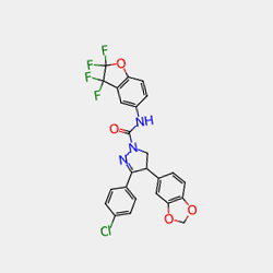 O=C(Nc1ccc2c(c1)C(F)(F)C(F)(F)O2)N1CC(c2ccc3c(c2)OCO3)C(c2ccc(Cl)cc2)=N1